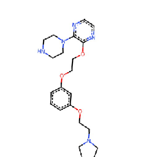 c1cc(OCCOc2nccnc2N2CCNCC2)cc(OCCN2CCCC2)c1